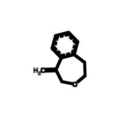 C=C1COCCc2ccccc21